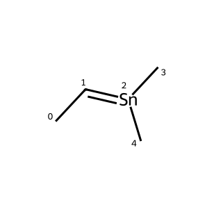 C[CH]=[Sn]([CH3])[CH3]